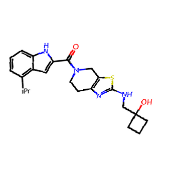 CC(C)c1cccc2[nH]c(C(=O)N3CCc4nc(NCC5(O)CCC5)sc4C3)cc12